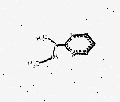 CNN(C)c1ncccn1